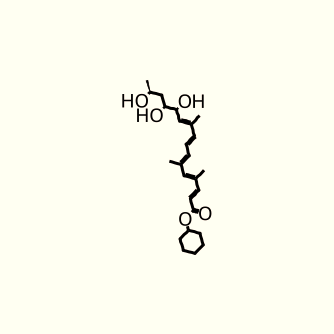 CC(=CC=CC(C)=C[C@H](O)[C@@H](O)C[C@H](C)O)C=C(C)C=CC(=O)OC1CCCCC1